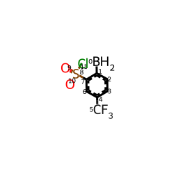 Bc1ccc(C(F)(F)F)cc1S(=O)(=O)Cl